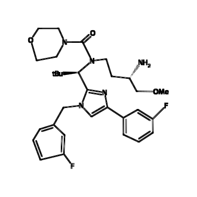 COC[C@@H](N)CCN(C(=O)N1CCOCC1)[C@@H](c1nc(-c2cccc(F)c2)cn1Cc1cccc(F)c1)C(C)(C)C